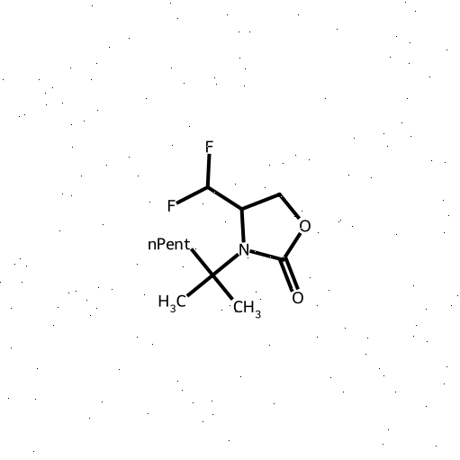 CCCCCC(C)(C)N1C(=O)OCC1C(F)F